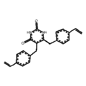 C=Cc1ccc(Cc2[nH]c(=O)[nH]c(=O)c2Cc2ccc(C=C)cc2)cc1